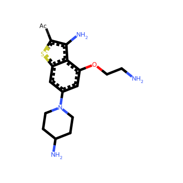 CC(=O)c1sc2cc(N3CCC(N)CC3)cc(OCCN)c2c1N